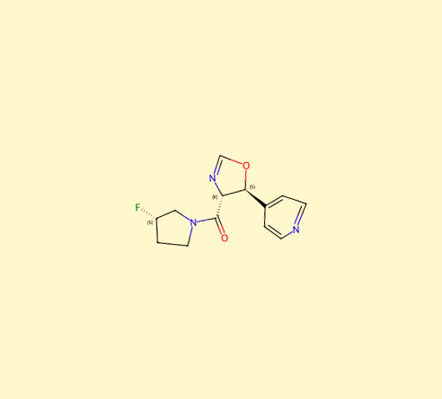 O=C([C@@H]1N=CO[C@H]1c1ccncc1)N1CC[C@H](F)C1